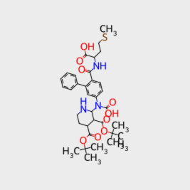 CSCCC(NC(=O)c1ccc(N(C(=O)O)C2NCCC(C(=O)OC(C)(C)C)C2C(=O)OC(C)(C)C)cc1-c1ccccc1)C(=O)O